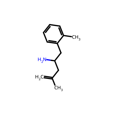 C=C(C)CC(N)Cc1ccccc1C